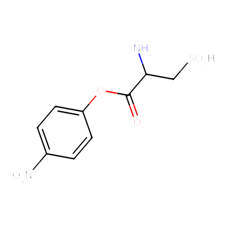 NC(CS(=O)(=O)O)C(=O)Oc1ccc([N+](=O)[O-])cc1